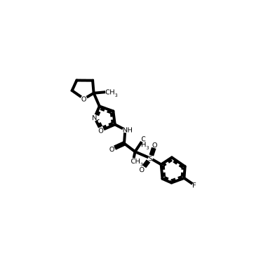 CC1(c2cc(NC(=O)C(C)(C)S(=O)(=O)c3ccc(F)cc3)on2)CCCO1